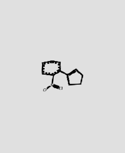 O=[N+]([O-])c1ccccc1C1=CCCC1